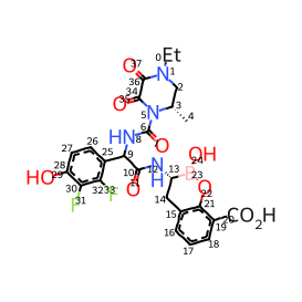 CCN1C[C@H](C)N(C(=O)NC(C(=O)N[C@H]2Cc3cccc(C(=O)O)c3OB2O)c2ccc(O)c(F)c2F)C(=O)C1=O